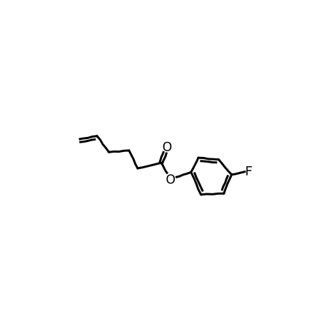 C=CCCCC(=O)Oc1ccc(F)cc1